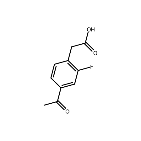 CC(=O)c1ccc(CC(=O)O)c(F)c1